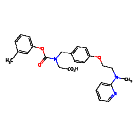 Cc1cccc(OC(=O)N(CC(=O)O)Cc2ccc(OCCN(C)c3ccccn3)cc2)c1